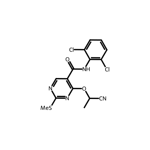 CSc1ncc(C(=O)Nc2c(Cl)cccc2Cl)c(OC(C)C#N)n1